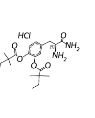 CCC(C)(C)C(=O)Oc1ccc(C[C@H](N)C(N)=O)cc1OC(=O)C(C)(C)CC.Cl